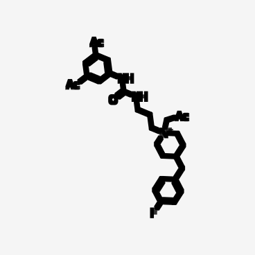 CC(=O)C[N+]1(CCCNC(=O)Nc2cc(C(C)=O)cc(C(C)=O)c2)CCC(Cc2ccc(F)cc2)CC1